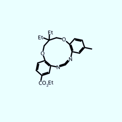 CCOC(=O)c1ccc2c(c1)N=C=Nc1cc(C)ccc1OCC(CC)(CC)CO2